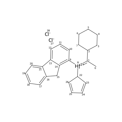 C[C](C1CCCCC1)=[Hf+2]([c]1cccc2c1Cc1ccccc1-2)[CH]1C=CC=C1.[Cl-].[Cl-]